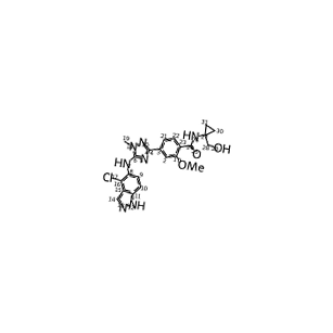 COc1cc(-c2nc(Nc3ccc4[nH]ncc4c3Cl)n(C)n2)ccc1C(=O)NC1(CO)CC1